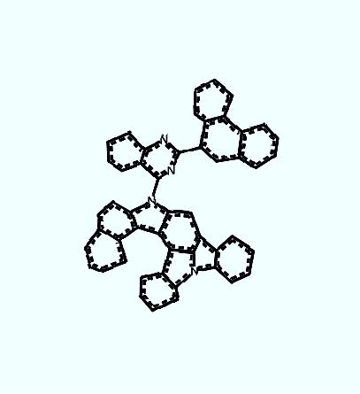 c1ccc2c(c1)cc(-c1nc(-n3c4ccc5ccccc5c4c4c5c6ccccc6n6c7ccccc7c(cc43)c56)c3ccccc3n1)c1ccccc12